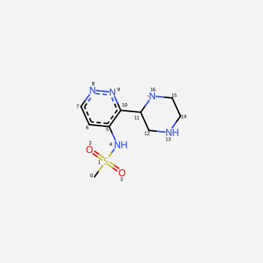 CS(=O)(=O)Nc1ccnnc1C1CNCC[N]1